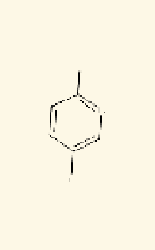 [CH2]c1ccc(I)nc1